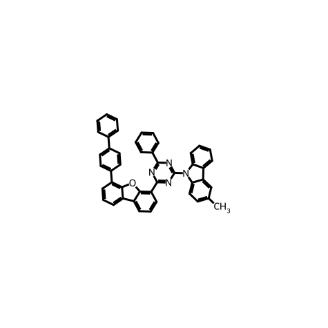 Cc1ccc2c(c1)c1ccccc1n2-c1nc(-c2ccccc2)nc(-c2cccc3c2oc2c(-c4ccc(-c5ccccc5)cc4)cccc23)n1